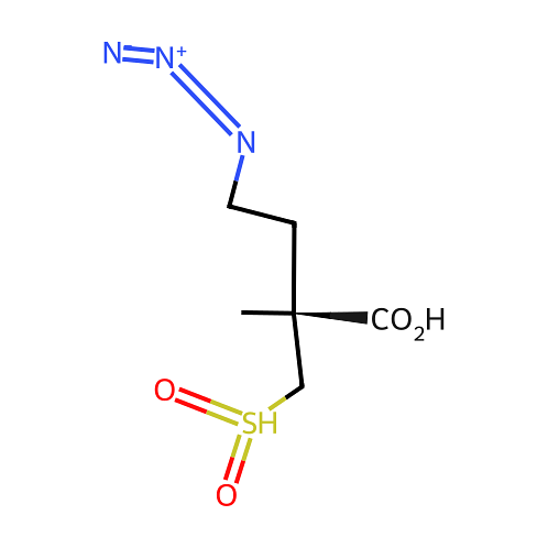 C[C@](CCN=[N+]=[N-])(C[SH](=O)=O)C(=O)O